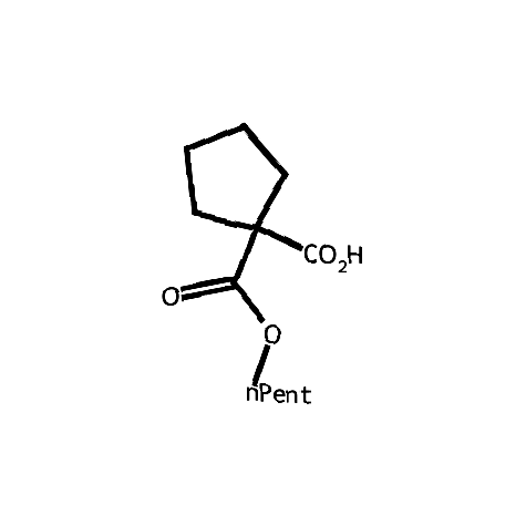 CCCCCOC(=O)C1(C(=O)O)CCCC1